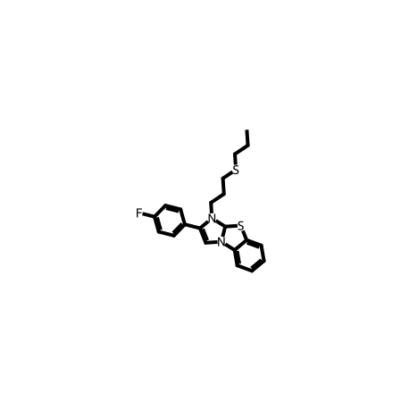 CCCSCCCN1C(c2ccc(F)cc2)=CN2c3ccccc3SC12